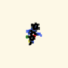 Cc1nc2ccc(-c3n[nH]c4nc(N5[C@@H]6CC[C@H]5CC(N)C6)nc(C(N)=O)c34)c(Cl)c2s1